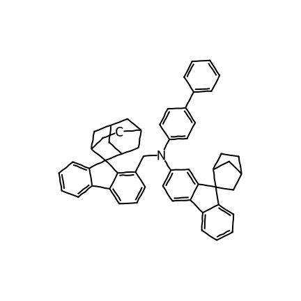 c1ccc(-c2ccc(N(Cc3cccc4c3C3(c5ccccc5-4)C4CCC5CC(C4)CC3C5)c3ccc4c(c3)C3(CC5CCC3C5)c3ccccc3-4)cc2)cc1